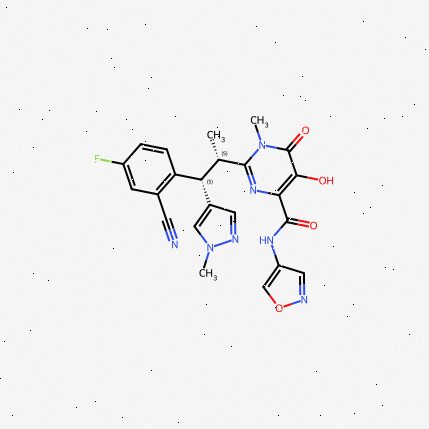 C[C@H](c1nc(C(=O)Nc2cnoc2)c(O)c(=O)n1C)[C@H](c1cnn(C)c1)c1ccc(F)cc1C#N